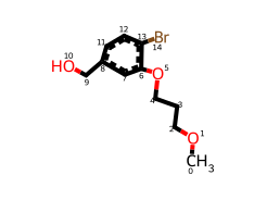 COCCCOc1cc(CO)ccc1Br